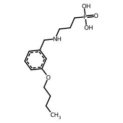 CCCCOc1cccc(CNCCCP(=O)(O)O)c1